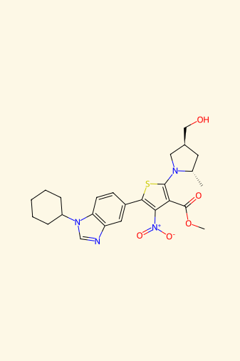 COC(=O)c1c(N2C[C@@H](CO)C[C@@H]2C)sc(-c2ccc3c(c2)ncn3C2CCCCC2)c1[N+](=O)[O-]